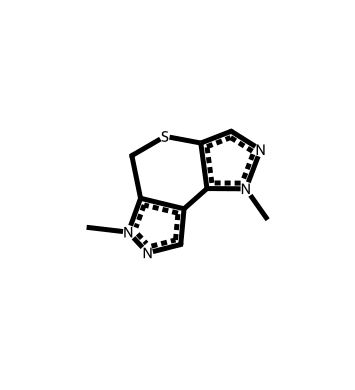 Cn1ncc2c1CSc1cnn(C)c1-2